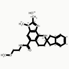 COCCNC(=O)c1cc2c(nc(C)n2C)c2c1CCC1(Cc3ccccc3C1)N2.Cl